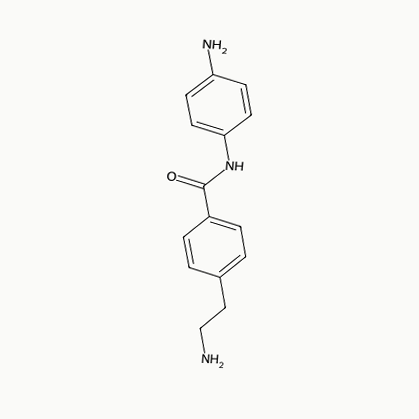 NCCc1ccc(C(=O)Nc2ccc(N)cc2)cc1